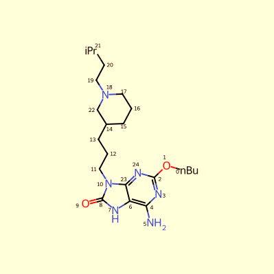 CCCCOc1nc(N)c2[nH]c(=O)n(CCCC3CCCN(CCC(C)C)C3)c2n1